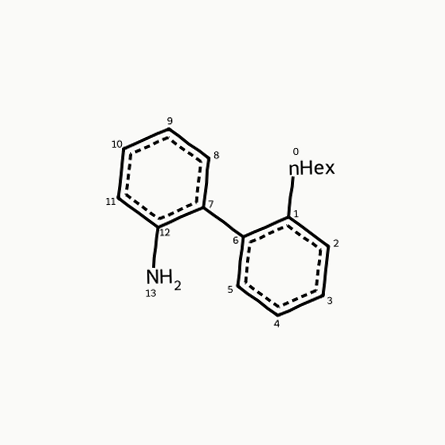 CCCCCCc1ccccc1-c1ccccc1N